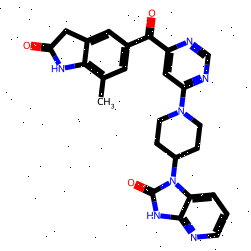 Cc1cc(C(=O)c2cc(N3CCC(n4c(=O)[nH]c5ncccc54)CC3)ncn2)cc2c1NC(=O)C2